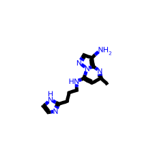 Cc1cc(NCCCc2ncc[nH]2)n2ncc(N)c2n1